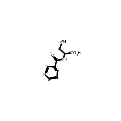 O=C(NC(CS)C(=O)O)c1cccnc1